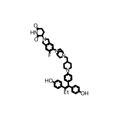 CCC(=C(c1ccc(O)cc1)c1ccc(N2CCC(CN3CC4CC3CN4c3cc4c(cc3F)CN(C3CCC(=O)NC3=O)C4)CC2)cc1)c1ccc(O)cc1